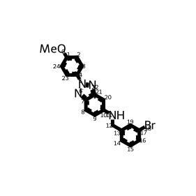 COc1ccc(-n2nc3ccc(NCc4cccc(Br)c4)cc3n2)cc1